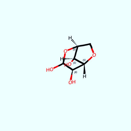 OC1O[C@H]2CO[C@@H]([C@H]2O)[C@H]1O